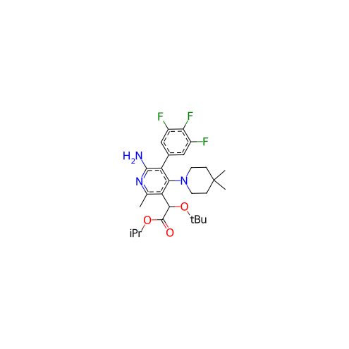 Cc1nc(N)c(-c2cc(F)c(F)c(F)c2)c(N2CCC(C)(C)CC2)c1C(OC(C)(C)C)C(=O)OC(C)C